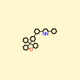 c1ccc(-c2ccc(-c3cccc(-c4ccc(C5(c6ccccc6)c6ccccc6Oc6ccccc65)cc4)c3)nn2)cc1